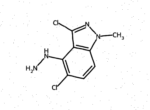 Cn1nc(Cl)c2c(NN)c(Cl)ccc21